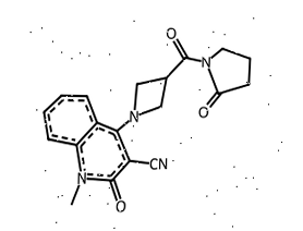 Cn1c(=O)c(C#N)c(N2CC(C(=O)N3CCCC3=O)C2)c2ccccc21